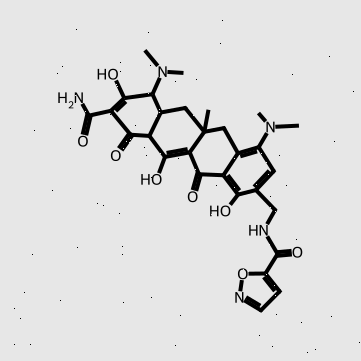 CN(C)c1cc(CNC(=O)c2ccno2)c(O)c2c1CC1(C)CC3C(C(=O)C(C(N)=O)=C(O)C3N(C)C)C(O)=C1C2=O